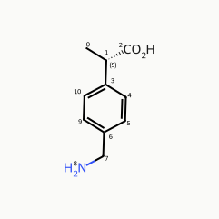 C[C@H](C(=O)O)c1ccc(CN)cc1